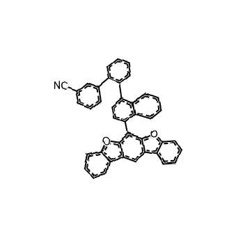 N#Cc1cccc(-c2ccccc2-c2ccc(-c3c4oc5ccccc5c4cc4c3oc3ccccc34)c3ccccc23)c1